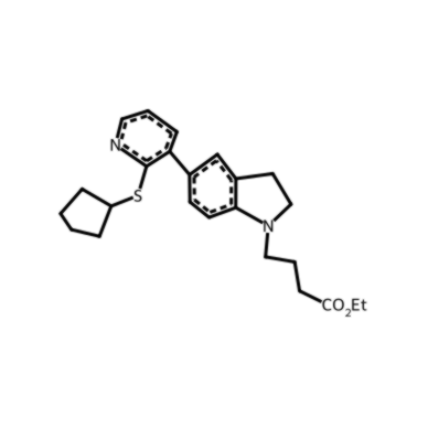 CCOC(=O)CCCN1CCc2cc(-c3cccnc3SC3CCCC3)ccc21